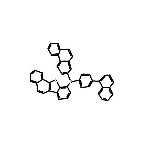 c1ccc2c(-c3ccc(N(c4ccc5c(ccc6ccccc65)c4)c4cccc5c4sc4c6ccccc6ccc54)cc3)cccc2c1